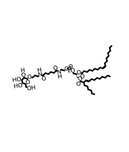 CCCCCCCC/C=C\CCCCCCCC(=O)O[C@H](COC(=O)C(/C=C/CCCCCCCC)CCCCCC)COP(C)(=O)OCCNC(=O)CCCCC(=O)NCCCO[C@@H]1OC(CO)[C@H](O)[C@H](O)C1O